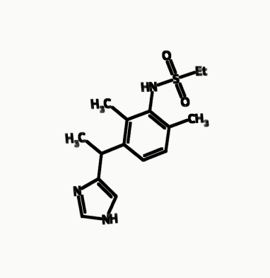 CCS(=O)(=O)Nc1c(C)ccc(C(C)c2c[nH]cn2)c1C